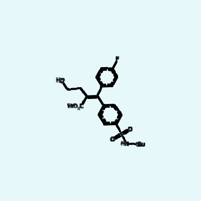 CCOC(=O)C(CCO)=C(c1ccc(F)cc1)c1ccc(S(=O)(=O)NC(C)(C)C)cc1